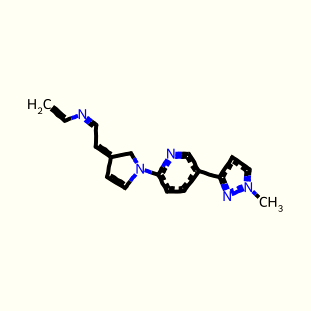 C=C/N=C\C=C1\C=CN(c2ccc(-c3ccn(C)n3)cn2)C1